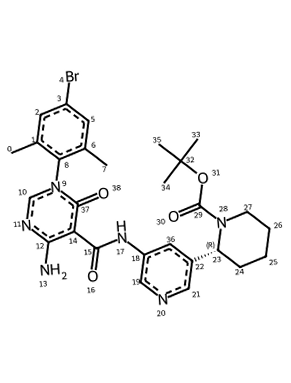 Cc1cc(Br)cc(C)c1-n1cnc(N)c(C(=O)Nc2cncc([C@H]3CCCCN3C(=O)OC(C)(C)C)c2)c1=O